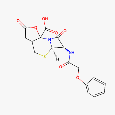 O=C(COc1ccccc1)N[C@@H]1C(=O)N2[C@@H]1SCC1CC(=O)OC12C(=O)O